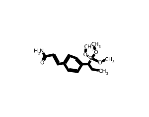 CCC(c1ccc(C=CC(N)=O)cc1)[Si](OC)(OC)OC